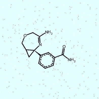 NC(=O)c1cccc([C@@]23CC2COCC(N)=N3)c1